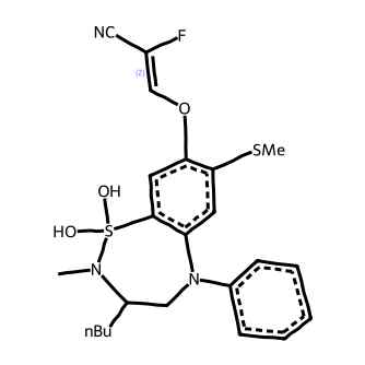 CCCCC1CN(c2ccccc2)c2cc(SC)c(O/C=C(\F)C#N)cc2S(O)(O)N1C